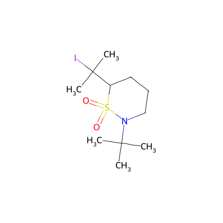 CC(C)(I)C1CCCN(C(C)(C)C)S1(=O)=O